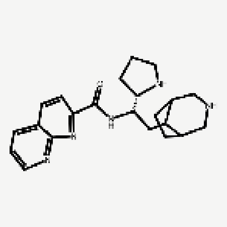 O=C(NC(CC1C2CCC1CNC2)[C@@H]1CCCN1)c1ccc2cccnc2n1